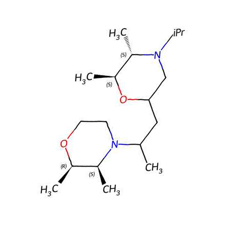 CC(C)N1CC(CC(C)N2CCO[C@H](C)[C@@H]2C)O[C@@H](C)[C@@H]1C